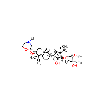 CCO[C@@H]([C@H]1C[C@@H](C)[C@H]2[C@H](O1)[C@H](O)[C@@]1(C)[C@@H]3CC[C@H]4C(C)(C)[C@@H](O[C@H]5CN(CC)CCO5)CC[C@@]45C[C@@]35CC[C@]21C)C(C)(C)O